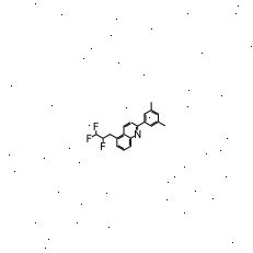 Cc1cc(C)cc(-c2ccc3c(CC(F)C(F)F)cccc3n2)c1